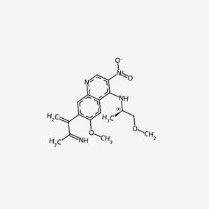 C=C(C(C)=N)c1cc2ncc([N+](=O)[O-])c(N[C@H](C)COC)c2cc1OC